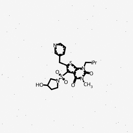 CC(C)Cn1c(=O)n(C)c(=O)c2c(S(=O)(=O)N3CCC(O)C3)c(Cc3cccnc3)sc21